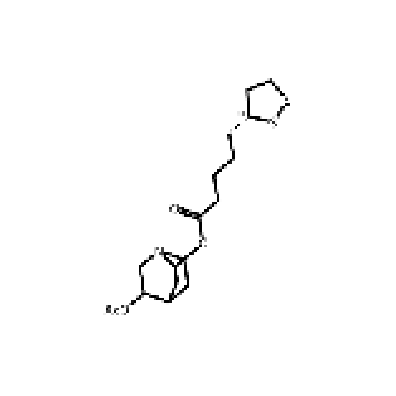 CC(=O)OC1CN2CCC1CC2OC(=O)CCCC[C@@H]1CCSS1